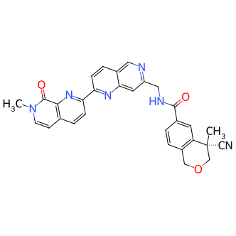 Cn1ccc2ccc(-c3ccc4cnc(CNC(=O)c5ccc6c(c5)[C@](C)(C#N)COC6)cc4n3)nc2c1=O